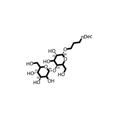 CCCCCCCCCCCCCO[C@@H]1OC(CO)[C@@H](O[C@H]2OC(CO)[C@@H](O)[C@H](O)C2O)C(O)[C@@H]1O